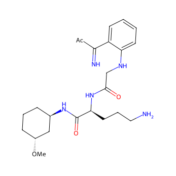 CO[C@@H]1CCC[C@@H](NC(=O)[C@H](CCCN)NC(=O)CNc2ccccc2C(=N)C(C)=O)C1